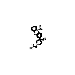 N#CC1(c2ccc(OC(F)F)c(OC3CCCCC3)c2)CCN(CC(=O)O)CC1